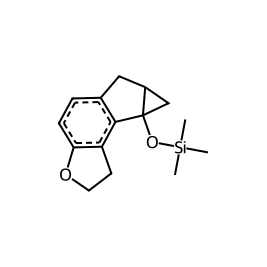 C[Si](C)(C)OC12CC1Cc1ccc3c(c12)CCO3